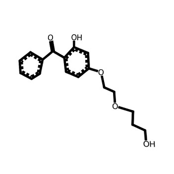 O=C(c1ccccc1)c1ccc(OCCOCCCO)cc1O